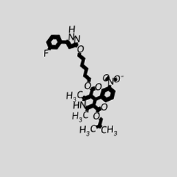 CC1=C(C(=O)OCCCCCCOc2cc(-c3cccc(F)c3)[nH]n2)C(c2cccc([N+](=O)[O-])c2)C(C(=O)OCC(C)C)=C(C)N1